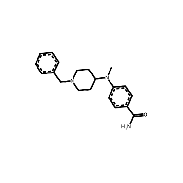 CN(c1ccc(C(N)=O)cc1)C1CCN(Cc2ccccc2)CC1